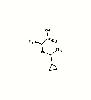 CC(N[C@@H](C)C(=O)O)C1CC1